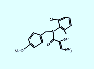 COc1ccc(CN(C(=O)/C(S)=C/N)c2c(C)cccc2Cl)cc1